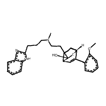 COc1ccccc1C1=CC2CC[C@H]1CC2(O)CCN(C)CCCc1nc2ccccc2[nH]1